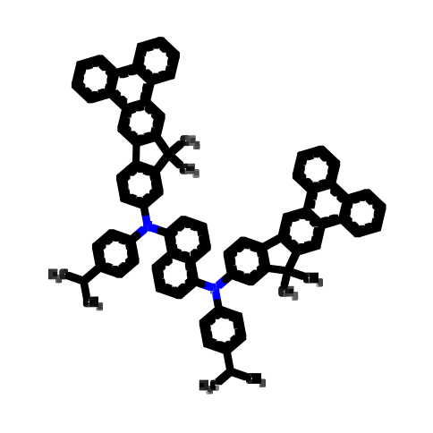 CC(C)c1ccc(N(c2ccc3c(c2)C(C)(C)c2cc4c5ccccc5c5ccccc5c4cc2-3)c2cccc3c(N(c4ccc(C(C)C)cc4)c4ccc5c(c4)C(C)(C)c4cc6c7ccccc7c7ccccc7c6cc4-5)cccc23)cc1